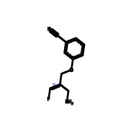 N#Cc1cccc(OC/C(=C/F)CN)c1